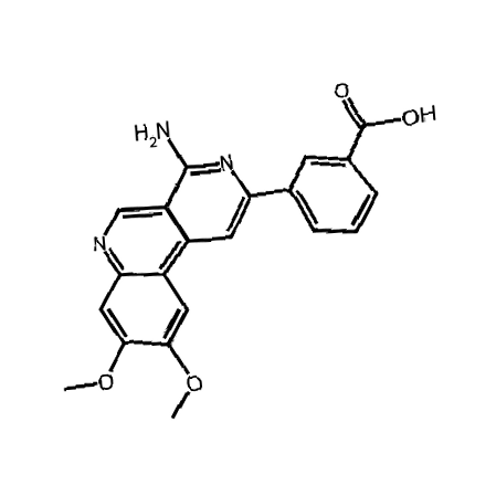 COc1cc2ncc3c(N)nc(-c4cccc(C(=O)O)c4)cc3c2cc1OC